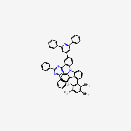 Bc1cc(B)c(B)c(-c2cccc3c2c2ccccc2n3-c2ccc(-c3cc(-c4ccccc4)nc(-c4ccccc4)c3)cc2-c2nc(-c3ccccc3)nc(-c3ccccc3)n2)c1B